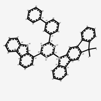 CC1(C)c2ccccc2-c2cc3c(cc21)c1ccccc1n3-c1nc(-c2cccc(-c3ccccc3)c2)nc(-c2cccc3c2sc2ccccc23)n1